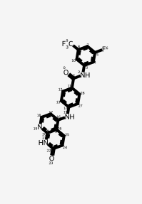 O=C(Nc1cc(F)cc(C(F)(F)F)c1)c1ccc(Nc2ccnc3[nH]c(=O)ccc23)cc1